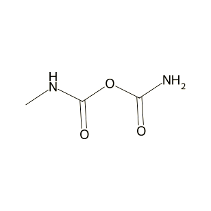 CNC(=O)OC(N)=O